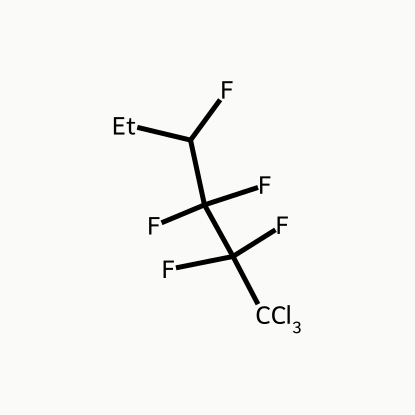 CCC(F)C(F)(F)C(F)(F)C(Cl)(Cl)Cl